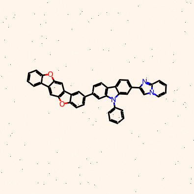 c1ccc(-n2c3cc(-c4ccc5oc6cc7c(cc6c5c4)oc4ccccc47)ccc3c3ccc(-c4cn5ccccc5n4)cc32)cc1